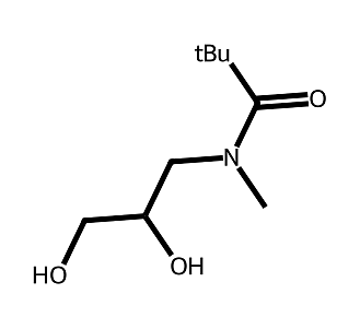 CN(CC(O)CO)C(=O)C(C)(C)C